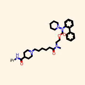 CC(C)NC(=O)C1CCN(CCCCCC(=O)N(C)CCOC(=O)N(c2ccccc2-c2ccccc2)N2CC[CH]CC2)CC1